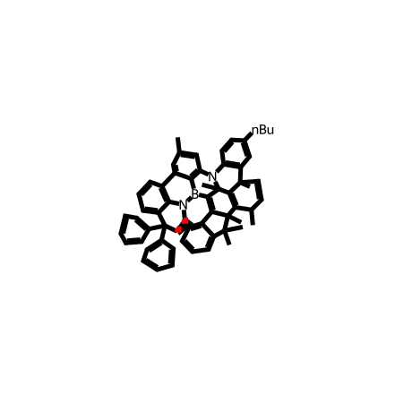 CCCCc1ccc2c(c1)C1(C)C=CC(C)C3=C1C1(C)C(=C4c5ccccc5C(C)(C)C43C)B3c4c(cc(C)cc4N21)-c1cccc2c1N3c1ccccc1C2(c1ccccc1)c1ccccc1